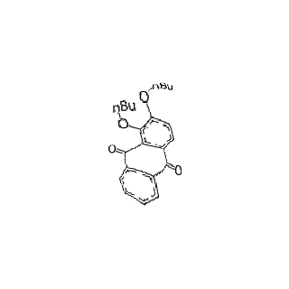 CCCCOc1ccc2c(c1OCCCC)C(=O)c1ccccc1C2=O